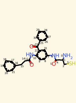 NC(CS)C(=O)Nc1ccc(NC(=O)CCc2ccccc2)c(C(=O)c2ccccc2)c1